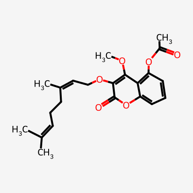 COc1c(OCC=C(C)CCC=C(C)C)c(=O)oc2cccc(OC(C)=O)c12